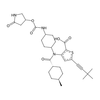 CC(C)(C)C#Cc1cc(N(C(=O)[C@H]2CC[C@H](C)CC2)C2CCC(NC(=O)OC3CNC(=O)C3)CC2)c(C(=O)O)s1